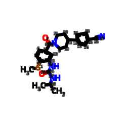 CSc1ccc(C(=O)N2CCC(c3ccc(C#N)cc3)CC2)cc1NC(=O)NC(C)C